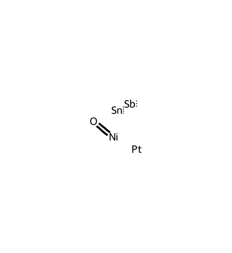 [O]=[Ni].[Pt].[Sb].[Sn]